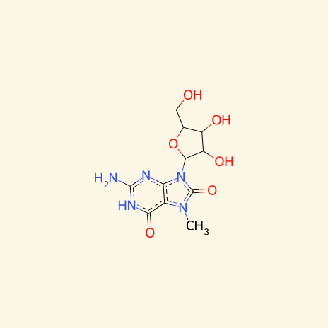 Cn1c(=O)n(C2OC(CO)C(O)C2O)c2nc(N)[nH]c(=O)c21